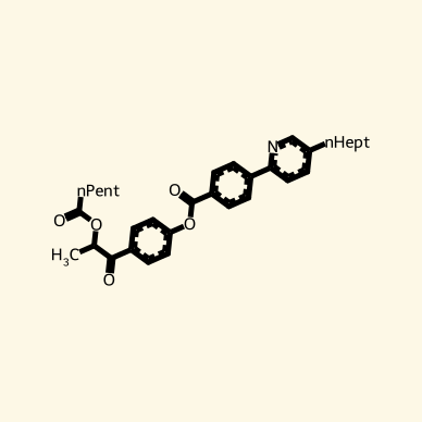 CCCCCCCc1ccc(-c2ccc(C(=O)Oc3ccc(C(=O)C(C)OC(=O)CCCCC)cc3)cc2)nc1